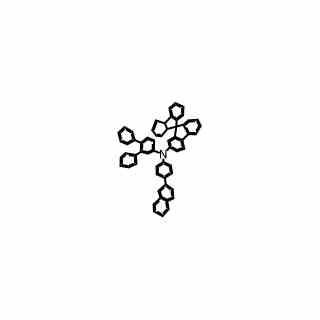 C1=CC2c3ccccc3C3(c4ccccc4-c4ccc(N(c5ccc(-c6ccc7ccccc7c6)cc5)c5ccc(-c6ccccc6)c(-c6ccccc6)c5)cc43)C2C=C1